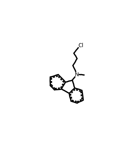 CN(CCCCl)C1c2ccccc2-c2ccccc21